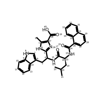 Cc1[nH]c(C(Cc2c[nH]c3ccccc23)NC(=O)[C@H](CC(C)C)NC(=O)c2cccc3ccccc23)nc1C(=O)O